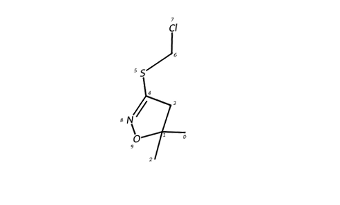 CC1(C)CC(SCCl)=NO1